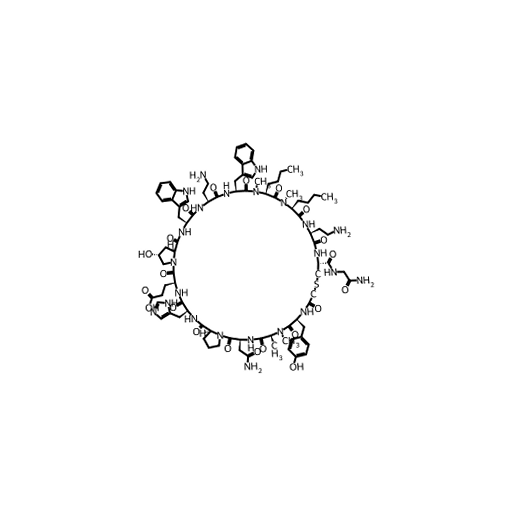 CCCC[C@H]1C(=O)N(C)[C@@H](CCCC)C(=O)N[C@@H](CCN)C(=O)N[C@H](C(=O)NCC(N)=O)CSCC(=O)N[C@@H](Cc2ccc(O)cc2)C(=O)N(C)[C@@H](C)C(=O)N[C@@H](CC(N)=O)C(=O)N2CCC[C@H]2C(=O)N[C@@H](Cc2cnc[nH]2)C(=O)N[C@@H](CCC(=O)O)C(=O)N2C[C@H](O)C[C@H]2C(=O)N[C@@H](Cc2c[nH]c3ccccc23)C(=O)N[C@@H](CCN)C(=O)N[C@@H](Cc2c[nH]c3ccccc23)C(=O)N1C